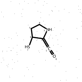 O=C=C1NCCC1S